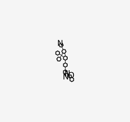 c1ccc(C2(c3ccccc3)c3cc(-c4ccncc4)ccc3-c3ccc(-c4ccc(-c5ccc6nc7c8ccccc8oc7n6c5)cc4)cc32)cc1